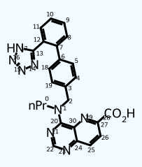 CCCN(Cc1ccc(-c2ccccc2-c2nnn[nH]2)cc1)c1ncnc2ccc(C(=O)O)nc12